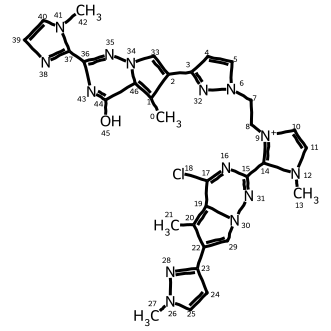 Cc1c(-c2ccn(CC[n+]3ccn(C)c3-c3nc(Cl)c4c(C)c(-c5ccn(C)n5)cn4n3)n2)cn2nc(-c3nccn3C)nc(O)c12